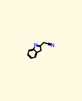 N#CCC1=Nc2ccccc2C1